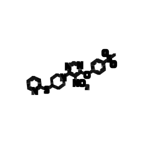 CS(=O)(=O)c1ccc(Oc2ncnc(N3CCC(Sc4ccccn4)CC3)c2[N+](=O)[O-])cc1